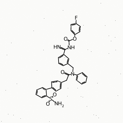 N=C(NC(=O)Oc1ccc(F)cc1)c1cccc(CN(C(=O)Cc2ccc(-c3ccccc3S(N)(=O)=O)cc2)c2ccccc2)c1